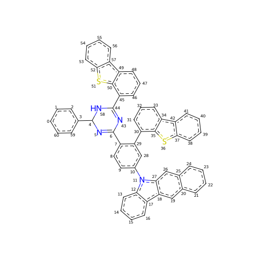 c1ccc(C2N=C(c3ccc(-n4c5ccccc5c5cc6ccccc6cc54)cc3-c3cccc4c3sc3ccccc34)N=C(c3cccc4c3sc3ccccc34)N2)cc1